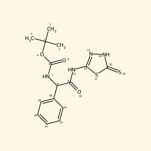 CC(C)(C)OC(=O)NC(C(=O)Nc1n[nH]c(=S)s1)c1ccccc1